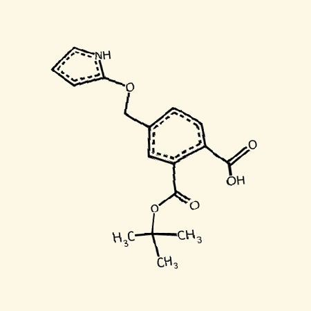 CC(C)(C)OC(=O)c1cc(COc2ccc[nH]2)ccc1C(=O)O